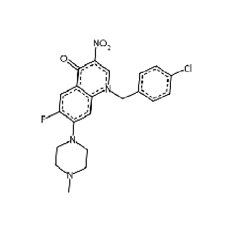 CN1CCN(c2cc3c(cc2F)c(=O)c([N+](=O)[O-])cn3Cc2ccc(Cl)cc2)CC1